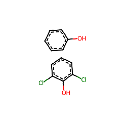 Oc1c(Cl)cccc1Cl.Oc1ccccc1